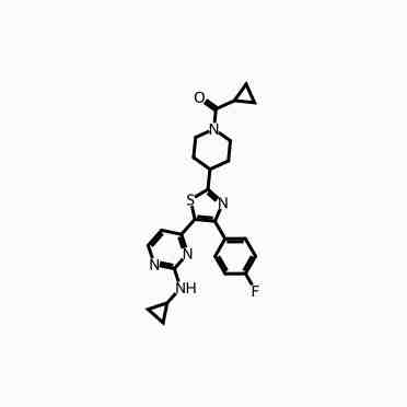 O=C(C1CC1)N1CCC(c2nc(-c3ccc(F)cc3)c(-c3ccnc(NC4CC4)n3)s2)CC1